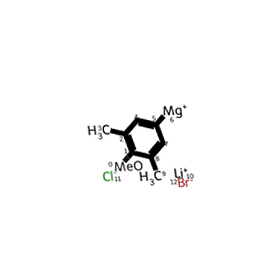 COc1c(C)c[c]([Mg+])cc1C.[Br-].[Cl-].[Li+]